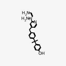 CC(C)(c1ccc(O)cc1)c1ccc(Cc2ccnc(N(N)/C=C\N)c2)cc1